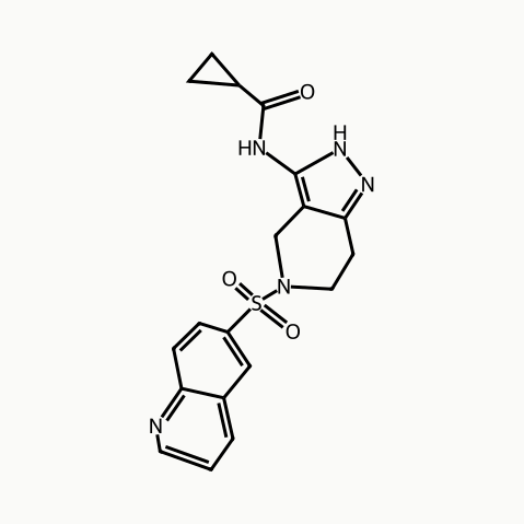 O=C(Nc1[nH]nc2c1CN(S(=O)(=O)c1ccc3ncccc3c1)CC2)C1CC1